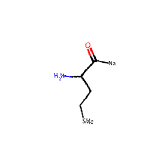 CSCCC(N)[C](=O)[Na]